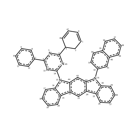 C1=CCC(c2nc(-c3ccccc3)nc(-n3c4ccccc4c4cc5c6ccccc6n(-c6ccc7ccccc7c6)c5cc43)n2)C=C1